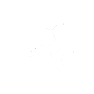 CCCCC(CC)[CH2][Mo]([CH2]C(CC)CCCC)[O]P(=O)(S)S